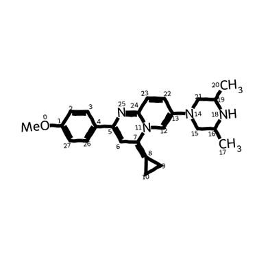 COc1ccc(C2=CC(=C3CC3)N3C=C(N4CC(C)NC(C)C4)C=CC3=N2)cc1